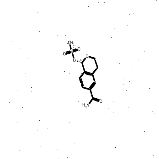 CS(=O)(=O)O[C@@H]1OCCc2cc(C(N)=O)ccc21